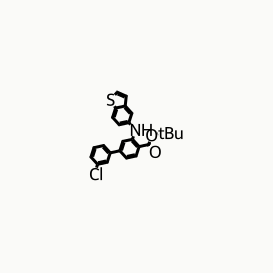 CC(C)(C)OC(=O)c1ccc(-c2cccc(Cl)c2)cc1Nc1ccc2sccc2c1